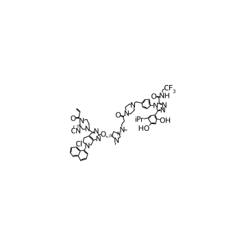 C=CC(=O)N1CCN(c2nc(OC[C@@H]3C[C@H](N(C)CCC(=O)N4CCN(Cc5ccc(-n6c(C(=O)NCC(F)(F)F)nnc6-c6cc(C(C)C)c(O)cc6O)cc5)CC4)CN3C)nc3c2CCN(c2cccc4cccc(Cl)c24)C3)C[C@@H]1CC#N